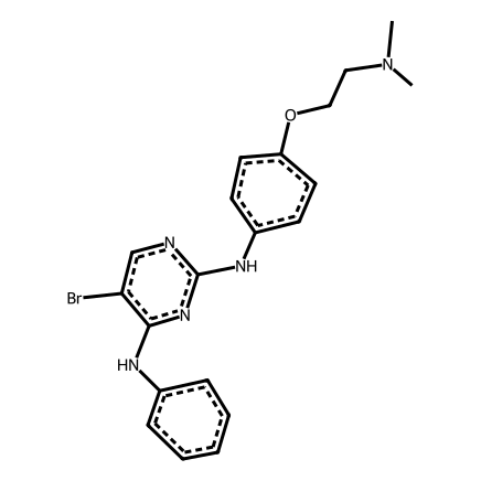 CN(C)CCOc1ccc(Nc2ncc(Br)c(Nc3ccccc3)n2)cc1